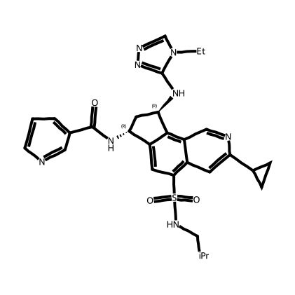 CCn1cnnc1N[C@@H]1C[C@@H](NC(=O)c2cccnc2)c2cc(S(=O)(=O)NCC(C)C)c3cc(C4CC4)ncc3c21